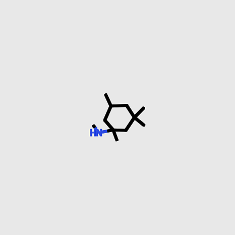 CNC1(C)CC(C)CC(C)(C)C1